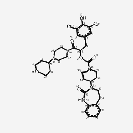 O=C(O[C@H](Cc1cc(Cl)c(O)c(Cl)c1)C(=O)N1CCN(C2CCOCC2)CC1)N1CCC(N2CCc3ccccc3NC2=O)CC1